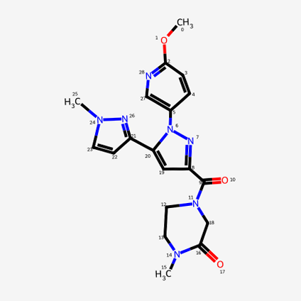 COc1ccc(-n2nc(C(=O)N3CCN(C)C(=O)C3)cc2-c2ccn(C)n2)cn1